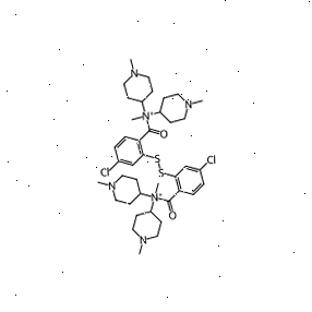 CN1CCC([N+](C)(C(=O)c2ccc(Cl)cc2SSc2cc(Cl)ccc2C(=O)[N+](C)(C2CCN(C)CC2)C2CCN(C)CC2)C2CCN(C)CC2)CC1